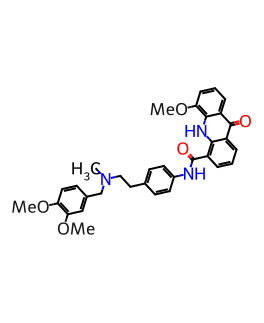 COc1ccc(CN(C)CCc2ccc(NC(=O)c3cccc4c(=O)c5cccc(OC)c5[nH]c34)cc2)cc1OC